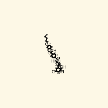 CCCCCOc1ccc(NC(=O)c2ccc(C(=O)Nc3nnc(-c4cc(Cl)cc(Cl)c4O)s3)cc2)cc1